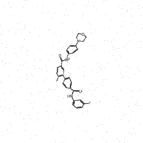 Cc1ccc(C(=O)Nc2ccc(N3CCOCC3)cc2)cc1-c1ccc(C(=O)Nc2cccc(F)c2)cc1